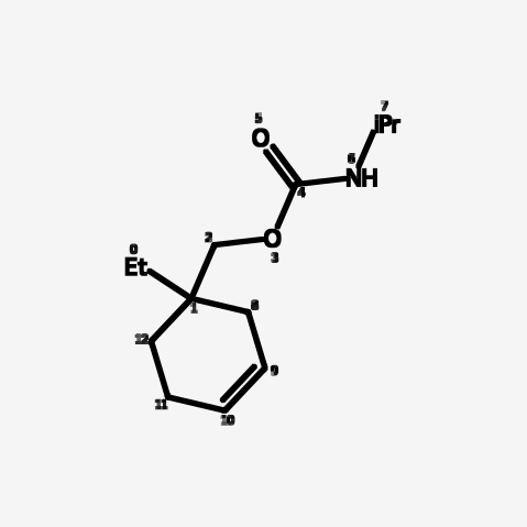 [CH2]CC1(COC(=O)NC(C)C)CC=CCC1